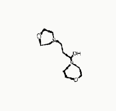 OC(CCN1CCOCC1)N1CCOCC1